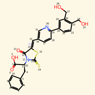 O=C(O)[C@H](Cc1ccccc1)N1C(=O)/C(=C/c2ccc(-c3ccc(CO)c(CO)c3)nc2)SC1=S